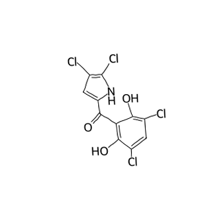 O=C(c1cc(Cl)c(Cl)[nH]1)c1c(O)c(Cl)cc(Cl)c1O